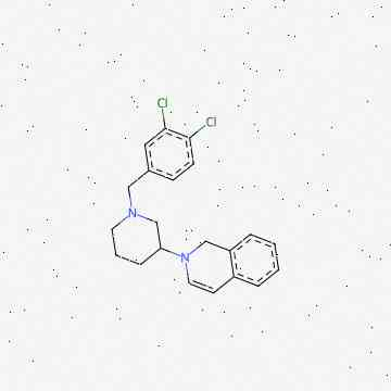 Clc1ccc(CN2CCCC(N3C=Cc4ccccc4C3)C2)cc1Cl